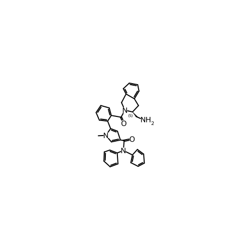 Cn1cc(C(=O)N(c2ccccc2)c2ccccc2)cc1-c1ccccc1C(=O)N1Cc2ccccc2C[C@H]1CN